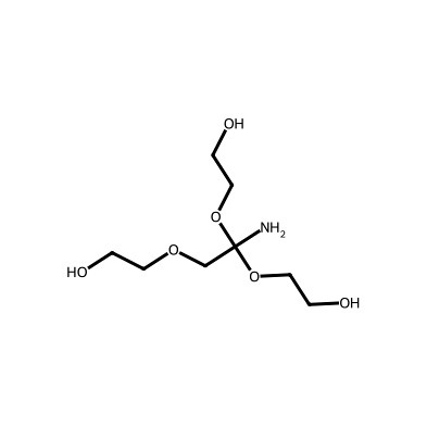 NC(COCCO)(OCCO)OCCO